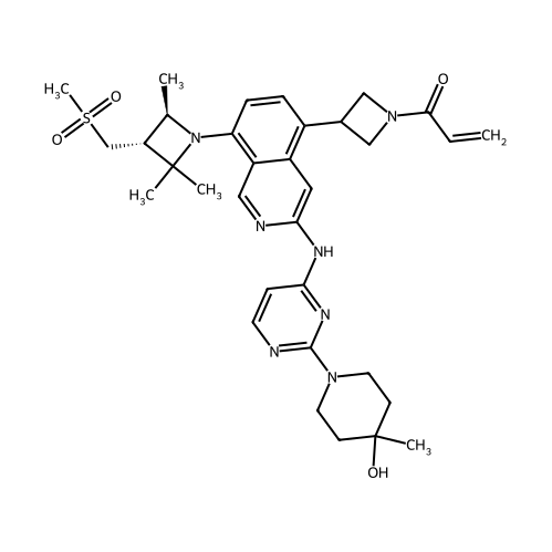 C=CC(=O)N1CC(c2ccc(N3[C@H](C)[C@@H](CS(C)(=O)=O)C3(C)C)c3cnc(Nc4ccnc(N5CCC(C)(O)CC5)n4)cc23)C1